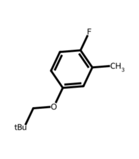 Cc1cc(OCC(C)(C)C)ccc1F